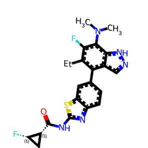 CCc1c(F)c(N(C)C)c2[nH]ncc2c1-c1ccc2nc(NC(=O)[C@@H]3C[C@@H]3F)sc2c1